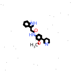 COc1cc(NC(=O)Cc2c[nH]c3ccccc23)ccc1C1=CN=CCC1